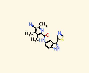 Cc1nc(C(=O)Nc2ccc3[nH]nc(-c4cncs4)c3c2)c(C)c(C)c1C#N